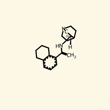 C=C(N[C@@H]1CN2CCC1CC2)c1cccc2c1CCCC2